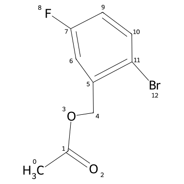 CC(=O)OCc1cc(F)ccc1Br